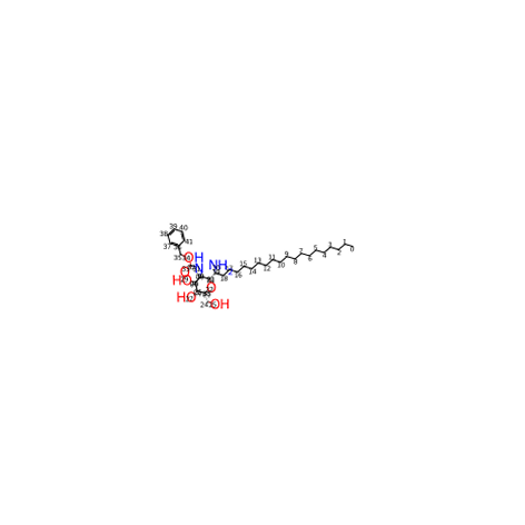 CCCCCCCCCCCCCCCCCCCC(N)[C@@H]1O[C@H](CO)[C@@H](O)[C@H](O)[C@H]1NC(=O)OCc1ccccc1